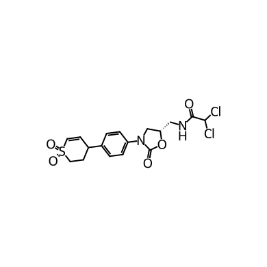 O=C(NC[C@H]1CN(c2ccc(C3C=CS(=O)(=O)CC3)cc2)C(=O)O1)C(Cl)Cl